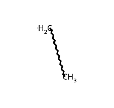 [CH2]CCCC/C=C/CCCCCCCCCCCCC